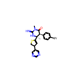 CC(C)c1ccc([C@@H]2C(=O)N(C)C(=N)N[C@]2(C)C2=CC(c3cncnc3)CS2)cc1